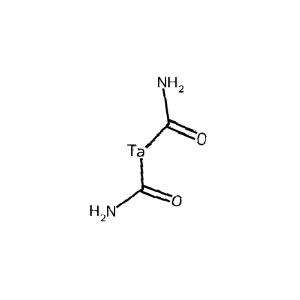 N[C](=O)[Ta][C](N)=O